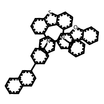 c1ccc(N(c2ccccc2)c2cccc3sc4cccc(N(c5ccc(-c6ccc7ccccc7c6)cc5)c5ccc6c(c5)oc5ccccc56)c4c23)cc1